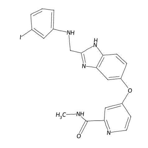 CNC(=O)c1cc(Oc2ccc3[nH]c(CNc4cccc(I)c4)nc3c2)ccn1